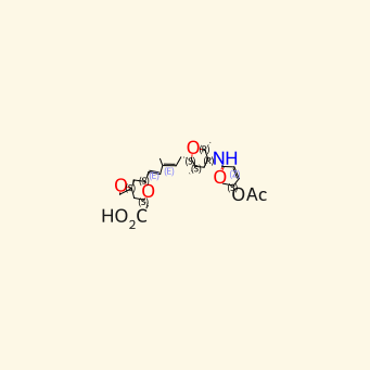 CC(=O)O[C@@H](C)/C=C\C(=O)N[C@@H]1C[C@H](C)[C@H](C/C=C(C)/C=C/[C@@H]2C[C@]3(CO3)C[C@@H](CC(=O)O)O2)O[C@@H]1C